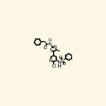 Cc1nc(NC(=O)Cc2ccccc2)sc1-c1cnc(Cl)c(NS(=O)(=O)c2ccccc2)c1